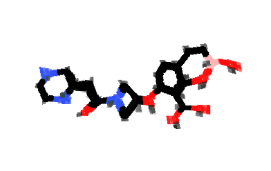 O=C(CC1CNCCN1)N1CC(Oc2ccc3c(c2C(O)O)OB(O)CC3)C1